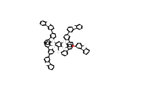 N#Cc1c(-n2c3ccccc3c3cc(-c4ccc5sc6ccccc6c5c4)ccc32)c(-n2c3ccccc3c3cc(-c4ccc5sc6ccccc6c5c4)ccc32)cc(-n2c3ccccc3c3cc(-c4ccc5sc6ccccc6c5c4)ccc32)c1-n1c2ccccc2c2cc(-c3ccc4sc5ccccc5c4c3)ccc21